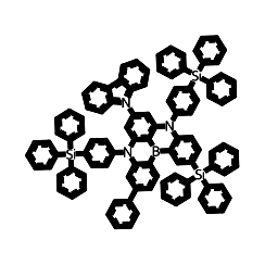 c1ccc(-c2ccc3c(c2)N(c2ccc([Si](c4ccccc4)(c4ccccc4)c4ccccc4)cc2)c2cc(-n4c5ccccc5c5ccccc54)cc4c2B3c2cc([Si](c3ccccc3)(c3ccccc3)c3ccccc3)ccc2N4c2ccc([Si](c3ccccc3)(c3ccccc3)c3ccccc3)cc2)cc1